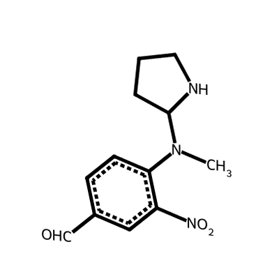 CN(c1ccc(C=O)cc1[N+](=O)[O-])C1CCCN1